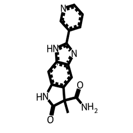 CC1(C(N)=O)C(=O)Nc2cc3[nH]c(-c4cccnc4)nc3cc21